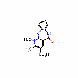 CC1=C(C(=O)O)C=C2C(=O)Nc3ccccc3N=C2N1C